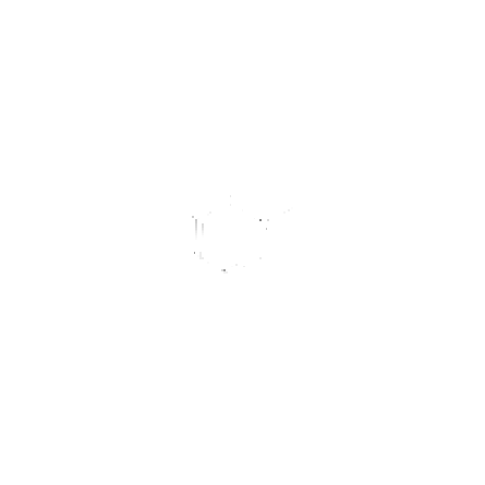 CC1=NN=CCN1C